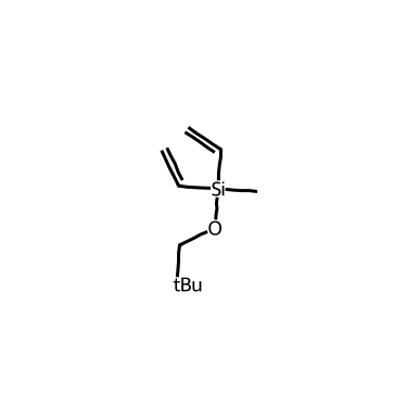 C=C[Si](C)(C=C)OCC(C)(C)C